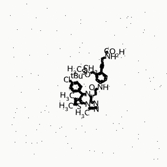 Cc1sc2c(c1C)C(c1ccc(Cl)cc1)=N[C@@H](CC(=O)Nc1ccc(C#CCNC(=O)O)c(CO[Si](C)(C)C(C)(C)C)c1)c1nnc(C)n1-2